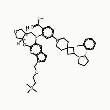 Cc1ccccc1[C@@H]1CCCN1C1CC2(CCN(c3ccc(C(=O)O)c(N4C[C@@H]5COC[C@H]5Oc5nc6c(ccn6COCC[Si](C)(C)C)cc54)c3)CC2)C1